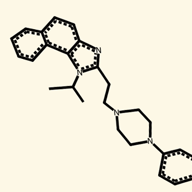 CC(C)n1c(CCN2CCN(c3ccccc3)CC2)nc2ccc3ccccc3c21